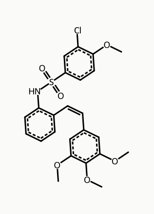 COc1ccc(S(=O)(=O)Nc2ccccc2C=Cc2cc(OC)c(OC)c(OC)c2)cc1Cl